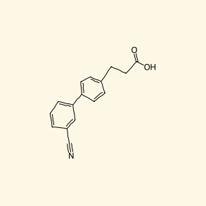 N#Cc1cccc(-c2ccc(CCC(=O)O)cc2)c1